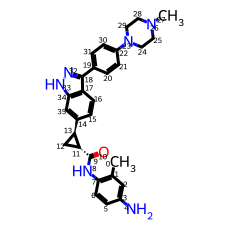 Cc1cc(N)ccc1NC(=O)[C@@H]1C[C@H]1c1ccc2c(-c3ccc(N4CCN(C)CC4)cc3)n[nH]c2c1